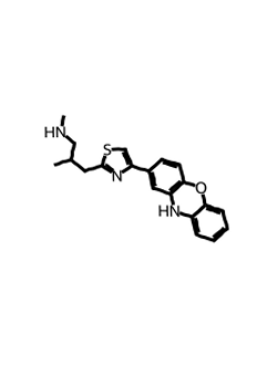 CNCC(C)Cc1nc(-c2ccc3c(c2)Nc2ccccc2O3)cs1